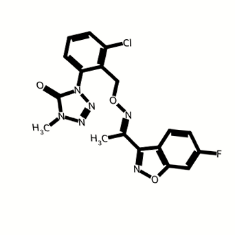 CC(=NOCc1c(Cl)cccc1-n1nnn(C)c1=O)c1noc2cc(F)ccc12